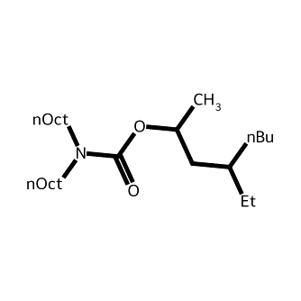 CCCCCCCCN(CCCCCCCC)C(=O)OC(C)CC(CC)CCCC